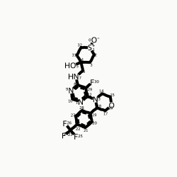 [O-][S+]1CCC(O)(CNc2ncnc(N3CCOCC3c3ccc(C(F)(F)F)cc3)c2F)CC1